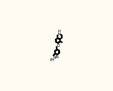 Cc1c(OCc2ccc3nn(C(C)C)cc3c2)ccc2c1CCNC2